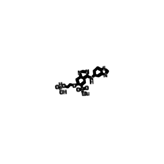 CC(C)(C)S(=O)(=O)c1cc2c(Nc3ccc4scnc4c3)ncnc2cc1OCCO[PH](=O)O